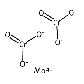 [Mo+4].[O]=[Cr]([O-])[O-].[O]=[Cr]([O-])[O-]